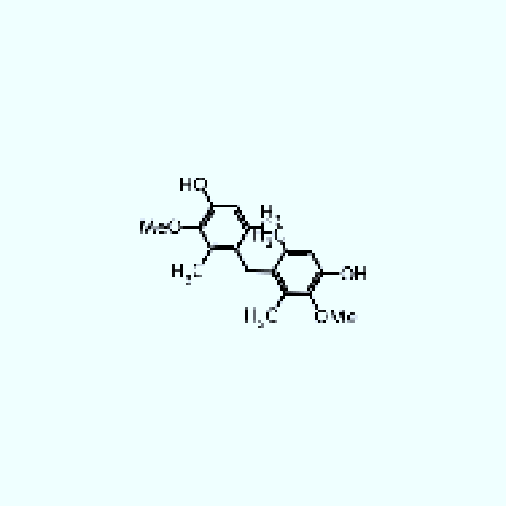 COc1c(O)cc(C)c(Cc2c(C)cc(O)c(OC)c2C)c1C